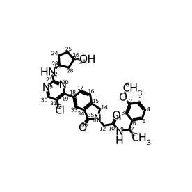 COc1cccc(C(C)NC(=O)CN2Cc3ccc(-c4nc(N[C@H]5CC[C@@H](O)C5)ncc4Cl)cc3C2=O)c1